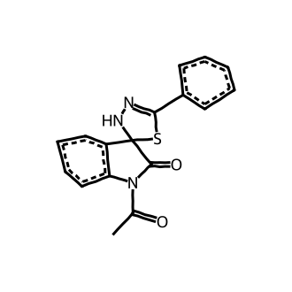 CC(=O)N1C(=O)C2(NN=C(c3ccccc3)S2)c2ccccc21